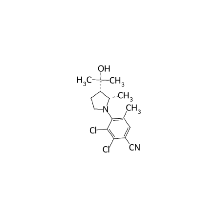 Cc1cc(C#N)c(Cl)c(Cl)c1N1CC[C@H](C(C)(C)O)[C@@H]1C